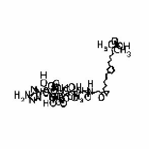 CC(C)(CCCCCc1cccc(CCCCCC2(C(=O)CCNC(=O)CCNC(=O)C(O)C(C)(C)COP(=O)(O)OP(=O)(O)OCC3OC(n4cnc5c(N)ncnc54)C(O)C3OP(=O)(O)O)CC2)c1)C(=O)O